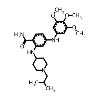 COc1cc(Nc2ccc(C(N)=O)c(NC3CCN(CC(C)C)CC3)c2)cc(OC)c1OC